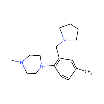 CN1CCN(c2ccc(C(F)(F)F)cc2CN2CCCC2)CC1